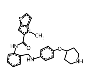 Cn1c(C(=O)Nc2ccccc2CNc2ccc(OC3CCNCC3)cc2)cc2sccc21